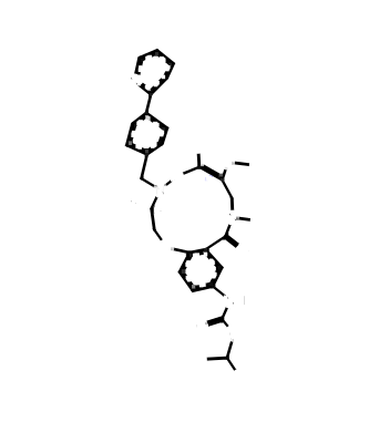 CO/C1=C(\C)CN(Cc2ccc(-c3ccccn3)cc2)[C@@H](C)COc2ccc(NC(=O)OC(C)C)cc2C(=O)N(C)C1